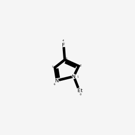 CCn1[c]c(F)cn1